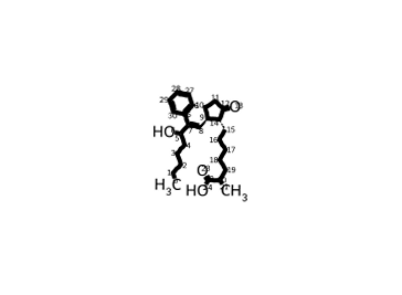 CCCCCC(O)/C(=C/[C@H]1CCC(=O)[C@@H]1CCCCCC(C)C(=O)O)c1ccccc1